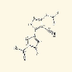 Cc1nc(-c2scc(CC(C)C)c2C#N)[se]c1C(=O)O